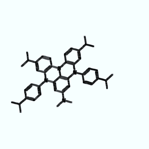 CC(C)c1ccc(N2c3cc(C(C)C)ccc3B3c4ccc(C(C)C)cc4N(c4ccc(C(C)C)cc4)c4cc(N(C)C)cc2c43)cc1